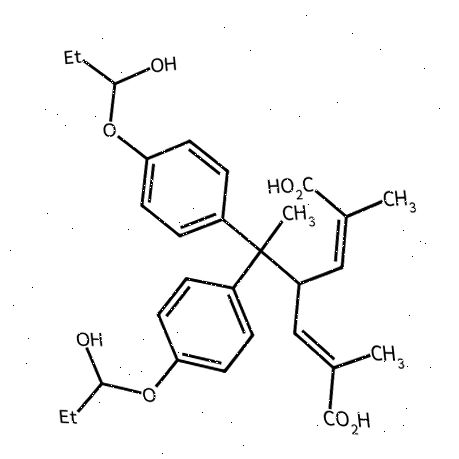 CCC(O)Oc1ccc(C(C)(c2ccc(OC(O)CC)cc2)C(C=C(C)C(=O)O)C=C(C)C(=O)O)cc1